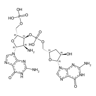 Nc1nc2c(ncn2[C@@H]2O[C@H](COP(=O)(O)O)[C@@H](OP(=O)(O)OC[C@@H]3C[C@@H](O)[C@H](n4cnc5c(=O)[nH]c(N)nc54)O3)[C@H]2N)c(=O)[nH]1